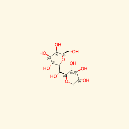 OC[C@H]1OC(C(O)[C@@H]2O[CH][C@@H](O)[C@H](O)[C@H]2O)[C@H](O)[C@@H](O)[C@H]1O